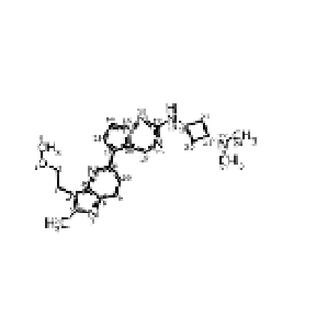 COCCn1c(C)nc2ccc(-c3ccn4nc(N[C@H]5C[C@@H](N(C)C)C5)ncc34)nc21